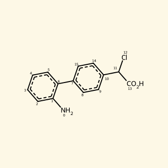 Nc1ccccc1-c1ccc(C(Cl)C(=O)O)cc1